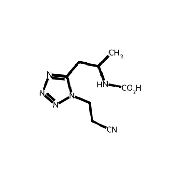 CC(Cc1nnnn1CCC#N)NC(=O)O